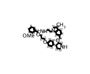 COc1ccccc1COCCCOc1ccc([C@H]2CCNC[C@@H]2OCc2ccc3c(C)cn(CCNC(C)=O)c3c2)cc1